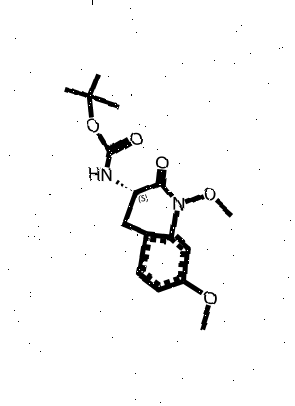 COc1ccc2c(c1)N(OC)C(=O)[C@@H](NC(=O)OC(C)(C)C)C2